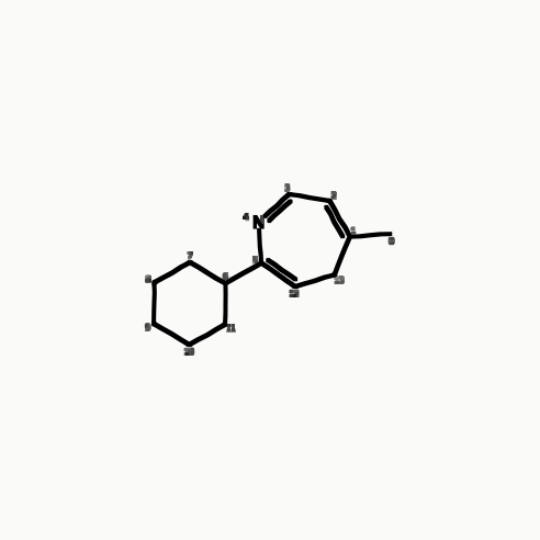 CC1=CC=NC(C2CCCCC2)=CC1